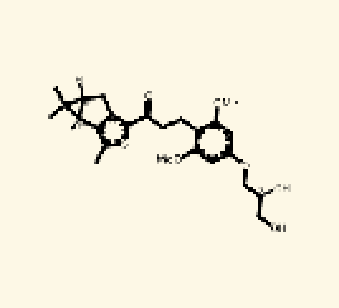 COc1cc(OC[C@@H](O)CO)cc(OC)c1CCC(=O)c1sc(C)c2c1C[C@@H]1[C@H]2C1(C)C